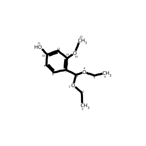 CCOC(OCC)c1ccc(O)cc1OC